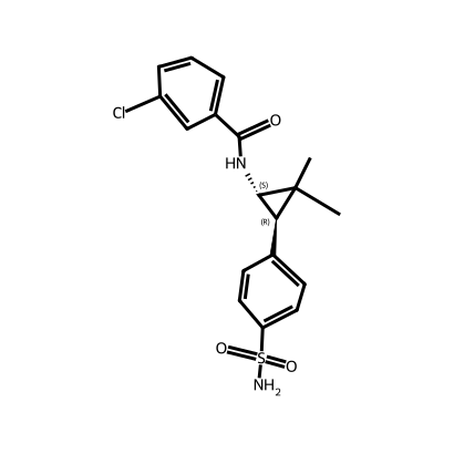 CC1(C)[C@@H](NC(=O)c2cccc(Cl)c2)[C@@H]1c1ccc(S(N)(=O)=O)cc1